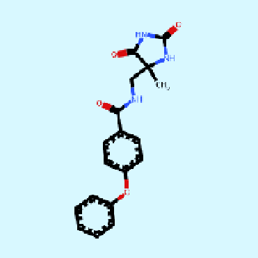 CC1(CNC(=O)c2ccc(Oc3ccccc3)cc2)NC(=O)NC1=O